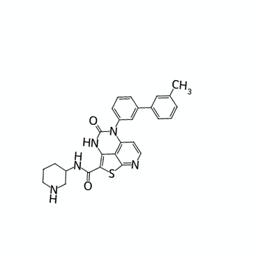 Cc1cccc(-c2cccc(N3C(=O)Nc4c(C(=O)NC5CCCNC5)sc5nccc3c45)c2)c1